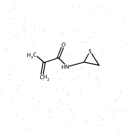 C=C(C)C(=O)NC1CS1